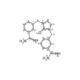 N=C(N)c1cccc(Cn2ccn(Cc3cccc(C(=N)N)c3)c2=O)c1